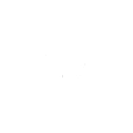 Cc1cc(Cl)ccc1C(C(=O)O)C(=O)O